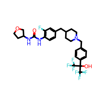 O=C(Nc1ccc(CC2CCN(Cc3ccc(C(O)(C(F)(F)F)C(F)(F)F)cc3)CC2)cc1F)NC1CCOC1